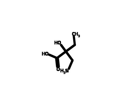 CCC(O)(C[SiH3])C(=O)O